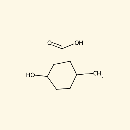 CC1CCC(O)CC1.O=CO